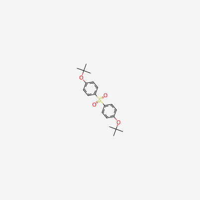 CC(C)(C)Oc1ccc(S(=O)(=O)c2ccc(OC(C)(C)C)cc2)cc1